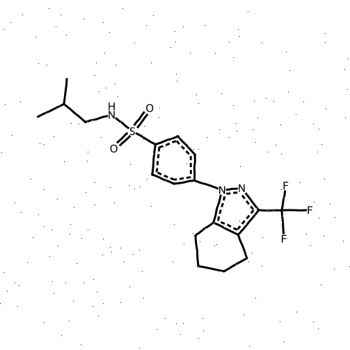 CC(C)CNS(=O)(=O)c1ccc(-n2nc(C(F)(F)F)c3c2CCCC3)cc1